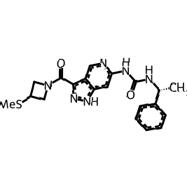 CSC1CN(C(=O)c2n[nH]c3cc(NC(=O)N[C@H](C)c4ccccc4)ncc23)C1